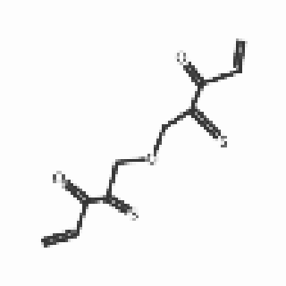 C=CC(=O)C(=S)COCC(=S)C(=O)C=C